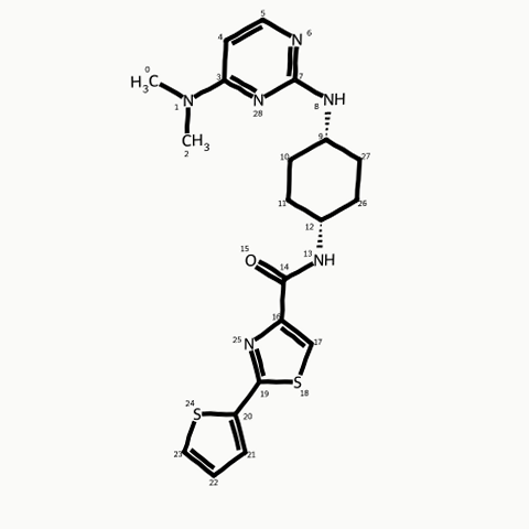 CN(C)c1ccnc(N[C@H]2CC[C@@H](NC(=O)c3csc(-c4cccs4)n3)CC2)n1